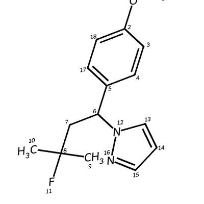 COc1ccc(C(CC(C)(C)F)n2cccn2)cc1